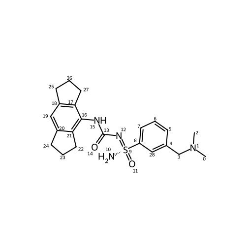 CN(C)Cc1cccc([S@@](N)(=O)=NC(=O)Nc2c3c(cc4c2CCC4)CCC3)c1